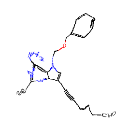 CCCCc1nc(N)c2c(n1)c(C#CCCCC=O)cn2COCc1ccccc1